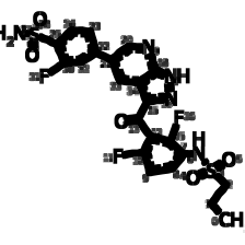 CCCS(=O)(=O)Nc1ccc(F)c(C(=O)c2n[nH]c3ncc(-c4ccc(S(N)(=O)=O)c(F)c4)cc23)c1F